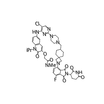 CNC(=O)COc1cc2cc(Nc3nc(N4CCN(CC5CCC6(CC5)CN(c5ccc(F)c7c5C(=O)N(C5CCC(=O)NC5=O)C7=O)C6)CC4)ncc3Cl)ccc2n(C(C)C)c1=O